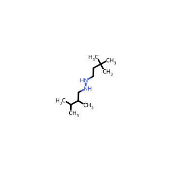 CC(C)C(C)CNNCCC(C)(C)C